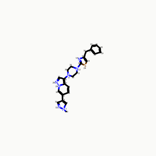 Cn1cc(-c2ccc3c(N4CCN(c5nc(Cc6ccccc6)cs5)CC4)cnn3c2)cn1